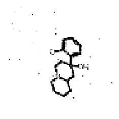 OC1(c2ccccc2Cl)CCN2CCCCC2C1